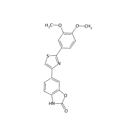 COc1ccc(-c2nc(-c3ccc4[nH]c(=O)oc4c3)cs2)cc1OC